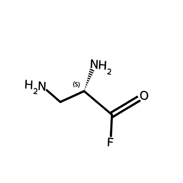 NC[C@H](N)C(=O)F